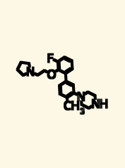 Cc1ccc(-c2cccc(F)c2OCCN2CCCC2)cc1N1CCNCC1